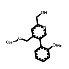 COc1ccccc1-c1cnc(CO)cc1COC=O